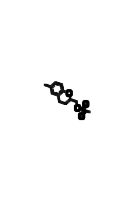 Cc1ccc2c(c1)CCC(COS(C)(=O)=O)O2